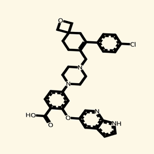 O=C(O)c1ccc(N2CCN(CC3=C(c4ccc(Cl)cc4)CC4(CC3)COC4)CC2)cc1Oc1cnc2[nH]ccc2c1